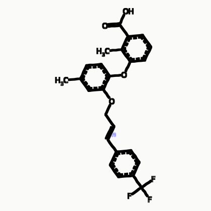 Cc1ccc(Oc2cccc(C(=O)O)c2C)c(OC/C=C/c2ccc(C(F)(F)F)cc2)c1